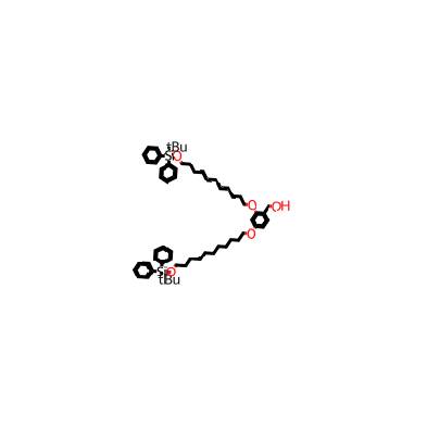 CC(C)(C)[Si](OCCCCCCCCCCCOc1ccc(CO)c(OCCCCCCCCCCCO[Si](c2ccccc2)(c2ccccc2)C(C)(C)C)c1)(c1ccccc1)c1ccccc1